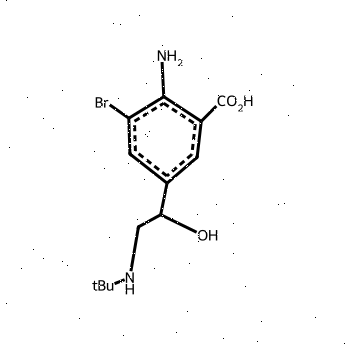 CC(C)(C)NCC(O)c1cc(Br)c(N)c(C(=O)O)c1